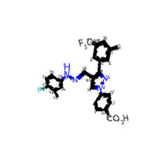 Cc1cc(-c2nn(-c3ccc(C(=O)O)cc3)cc2/C=N/Nc2ccc(F)c(C)c2)cc(C(F)(F)F)c1